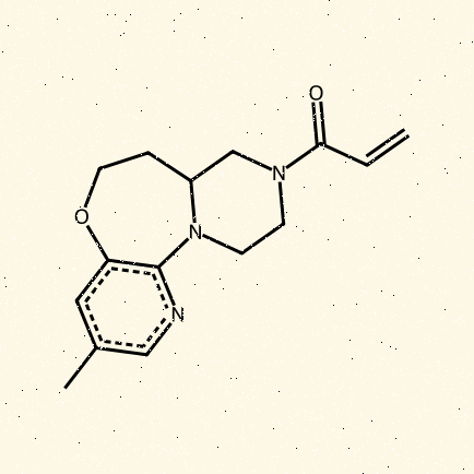 C=CC(=O)N1CCN2c3ncc(C)cc3OCCC2C1